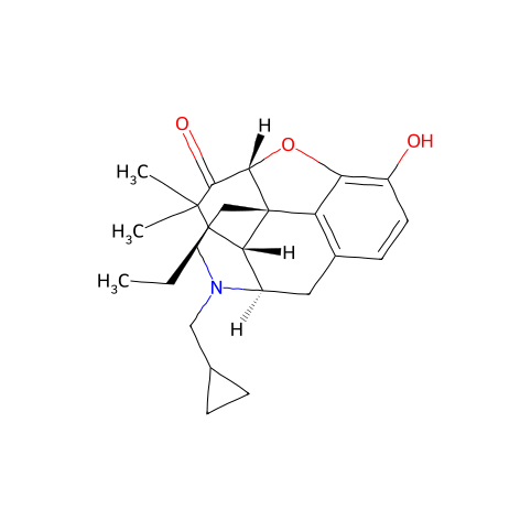 CC[C@@H]1[C@H]2[C@H]3Cc4ccc(O)c5c4[C@@]2(CCN3CC2CC2)[C@@H](O5)C(=O)C1(C)C